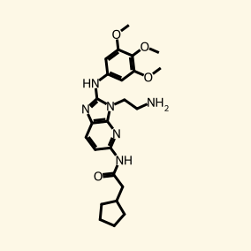 COc1cc(Nc2nc3ccc(NC(=O)CC4CCCC4)nc3n2CCN)cc(OC)c1OC